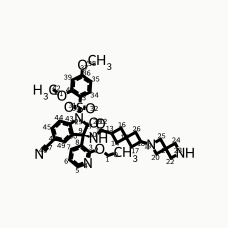 CCOc1ncccc1[C@@]1(NC(=O)C2CC3(C2)CC(N2CC4(CNC4)C2)C3)C(=O)N(S(=O)(=O)c2ccc(OC)cc2OC)c2ccc(C#N)cc21